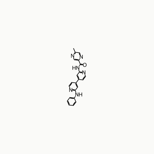 Cc1cnc(C(=O)Nc2cc(-c3ccnc(Nc4ccccc4)c3)ccn2)cn1